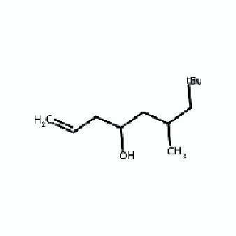 C=CCC(O)CC(C)CC(C)(C)C